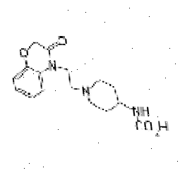 O=C(O)NC1CCN(CCN2C(=O)COc3ccccc32)CC1